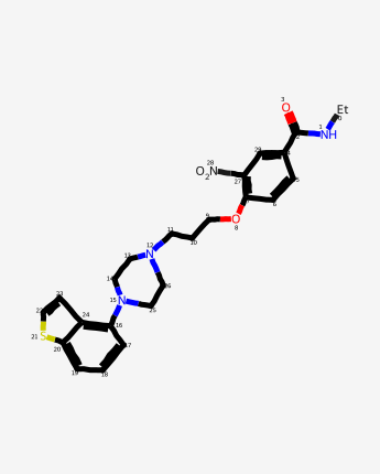 CCNC(=O)c1ccc(OCCCN2CCN(c3cccc4sccc34)CC2)c([N+](=O)[O-])c1